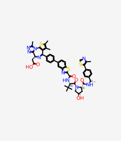 Cc1ncsc1-c1ccc([C@H](C)NC(=O)[C@@H]2C[C@@H](O)CN2C(=O)[C@@H](NC(=O)c2nc3cc(-c4ccc(C5=N[C@@H](CC(=O)O)c6nnc(C)n6-c6sc(C)c(C)c65)cc4)ccc3s2)C(C)(C)C)cc1